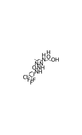 Cc1cc(NCC(O)CO)nc(NC(=O)Nc2ccc(Cl)c(C(F)(F)F)c2)n1